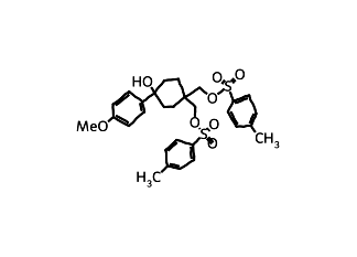 COc1ccc(C2(O)CCC(COS(=O)(=O)c3ccc(C)cc3)(COS(=O)(=O)c3ccc(C)cc3)CC2)cc1